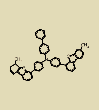 Cc1ccc2c(c1)sc1c(-c3ccc(N(c4ccc(-c5ccccc5)cc4)c4ccc(-c5cccc6c7c(sc56)C(C)CC=C7)cc4)cc3)cccc12